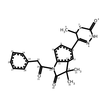 CC1SC(=O)NN=C1c1ccc2c(c1)C(C)(C)C(=O)N2C(=O)Cc1ccccc1